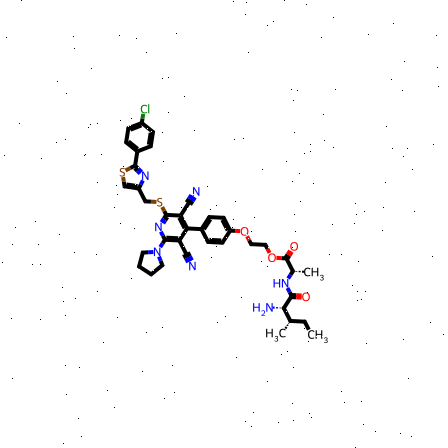 CC[C@H](C)[C@H](N)C(=O)N[C@@H](C)C(=O)OCCOc1ccc(-c2c(C#N)c(SCc3csc(-c4ccc(Cl)cc4)n3)nc(N3CCCC3)c2C#N)cc1